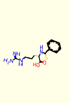 N=C(N)NCCC[C@H](NC(=S)c1ccccc1)C(=O)O